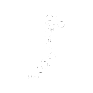 COc1cccc(CN2Cc3ccc(N4CCN(CCCCC5(C(=O)NCC(F)(F)F)c6ccccc6Sc6ccccc65)CC4)cc3C2=O)c1